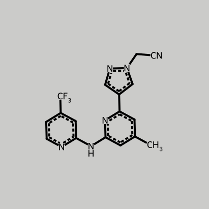 Cc1cc(Nc2cc(C(F)(F)F)ccn2)nc(-c2cnn(CC#N)c2)c1